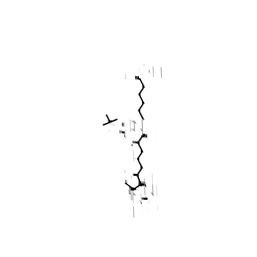 CC(C)(C)OC(=O)NC(CCCC1SC[C@@H]2NC(=O)N[C@H]12)C(=O)NCCCCCC(=O)O